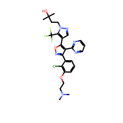 CN(C)CCOc1cccc(-c2noc(-c3cnn(CCC(C)(C)O)c3C(F)(F)F)c2-c2ncccn2)c1Cl